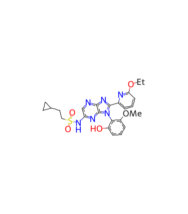 CCOC1=NC(c2nc3ncc(NS(=O)(=O)CCC4CC4)nc3n2-c2c(O)cccc2OC)=C=C=C1